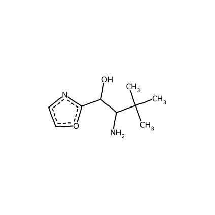 CC(C)(C)C(N)C(O)c1ncco1